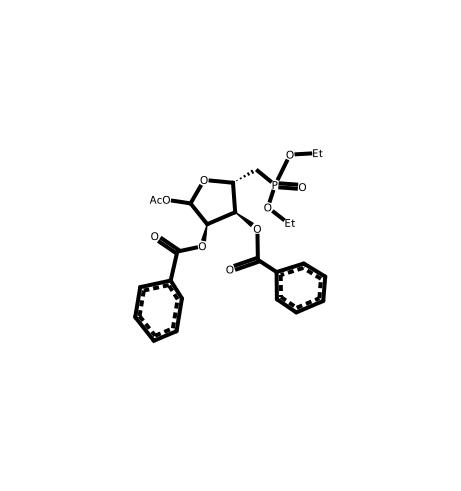 CCOP(=O)(C[C@H]1OC(OC(C)=O)[C@H](OC(=O)c2ccccc2)[C@@H]1OC(=O)c1ccccc1)OCC